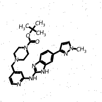 Cn1ccc(-c2ccc3nc(Nc4cc(CN5CCN(C(=O)OC(C)(C)C)CC5)ccn4)[nH]c3c2)n1